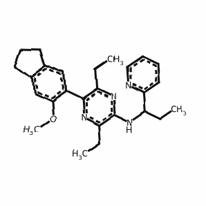 CCc1nc(-c2cc3c(cc2OC)CCC3)c(CC)nc1NC(CC)c1ccccn1